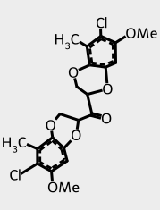 COc1cc2c(c(C)c1Cl)OCC(C(=O)C1COc3c(cc(OC)c(Cl)c3C)O1)O2